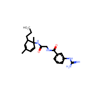 CC1=CC(CCC(=O)O)C(C)(NC(=O)CNC(=O)c2cccc(NC(=N)N)c2)C=C1